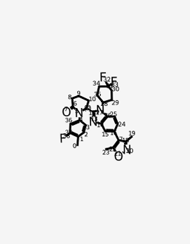 Cc1ccc(N2C(=O)CCC[C@H]2c2nc3cc(-c4c(C)noc4C)ccc3n2C2CCC(F)(F)CC2)cc1F